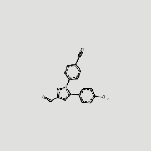 Cc1ccc(-c2cc(C=O)nn2-c2ccc(C#N)cc2)cc1